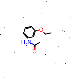 CC(N)=O.CCOc1ccccc1